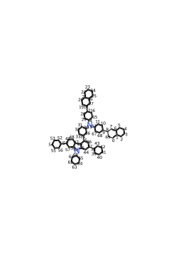 C1=c2ccccc2=CC(c2ccc(N(c3ccc(-c4ccc5ccccc5c4)cc3)c3cccc(-c4cc(-c5ccccc5)cc5c4c4ccc(-c6ccccc6)cc4n5-c4ccccc4)c3)cc2)C1